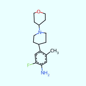 Cc1cc(N)c(F)cc1C1CCN(C2CCOCC2)CC1